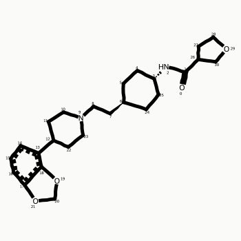 O=C(N[C@H]1CC[C@H](CCN2CCC(c3cccc4c3OCO4)CC2)CC1)C1CCOC1